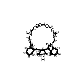 CN1CCOCCOCCN(C)CCn2cc(c3ccccc32)C2=C(C(=O)NC2=O)c2cn(c3ccccc23)CC1